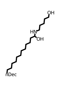 CCCCCCCCCCCCCCCCCCCCCC(O)NCCCCCO